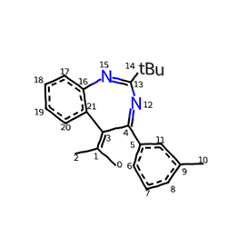 CC(C)=C1C(c2cccc(C)c2)=NC(C(C)(C)C)=Nc2ccccc21